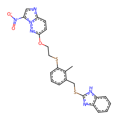 Cc1c(CSc2nc3ccccc3[nH]2)cccc1SCCOc1ccc2ncc([N+](=O)[O-])n2n1